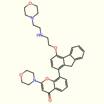 O=c1cc(N2CCOCC2)oc2c(-c3ccc(OCCNCCN4CCOCC4)c4c3Cc3ccccc3-4)cccc12